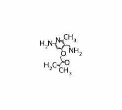 C=C(C)C(=O)COc1cc(N)nc(C)c1CN